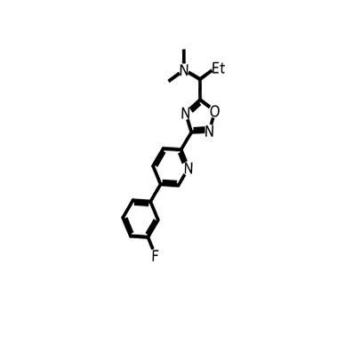 CCC(c1nc(-c2ccc(-c3cccc(F)c3)cn2)no1)N(C)C